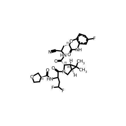 CC1(C)[C@@H]2[C@@H](C(=O)NC(C#N)C[C@@H]3Oc4ccc(F)cc4NC3=O)N(C(=O)C(CC(F)F)NC(=O)[C@H]3CCOC3)C[C@@H]21